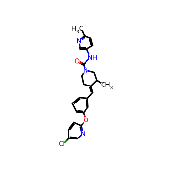 Cc1ccc(NC(=O)N2CCC(=Cc3cccc(Oc4ccc(Cl)cn4)c3)C(C)C2)cn1